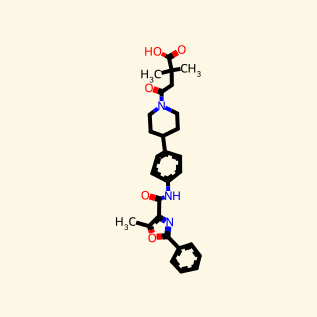 Cc1oc(-c2ccccc2)nc1C(=O)Nc1ccc(C2CCN(C(=O)CC(C)(C)C(=O)O)CC2)cc1